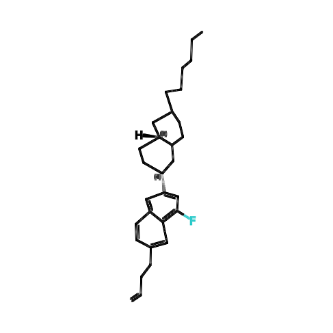 C=CCCc1ccc2cc([C@@H]3CC[C@@H]4CC(CCCCCC)CCC4C3)cc(F)c2c1